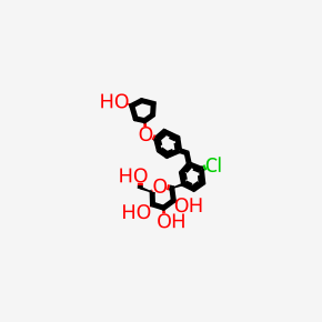 OC[C@H]1O[C@@H](c2ccc(Cl)c(Cc3ccc(O[C@@H]4CCC[C@@H](O)C4)cc3)c2)[C@H](O)[C@@H](O)[C@@H]1O